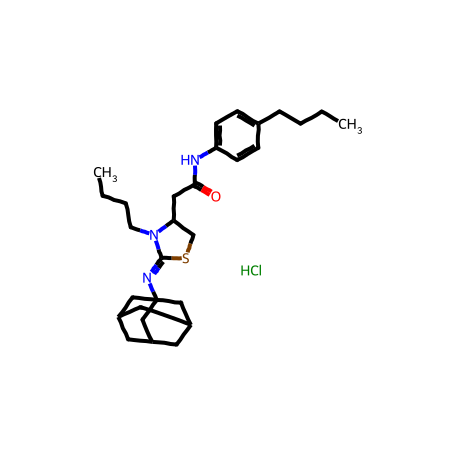 CCCCc1ccc(NC(=O)CC2CSC(=NC34CC5CC(CC(C5)C3)C4)N2CCCC)cc1.Cl